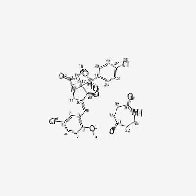 COc1ccc(Cl)cc1C=C1CN2C(=O)[C@@H](C)C2(S(=O)(=O)c2ccc(Cl)cc2)C1=O.O=C1CCNC(=O)CC1